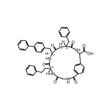 O=C1CNC(=O)c2ccc(cc2)C(C(=O)O)NC(=O)[C@@H](Cc2ccccc2)NC(=O)[C@H](Cc2ccc(-c3ccccc3)cc2)NC(=O)[C@@H](CCc2ccccc2)N1